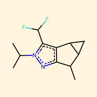 CC1c2nn(C(C)C)c(C(F)F)c2C2CC12